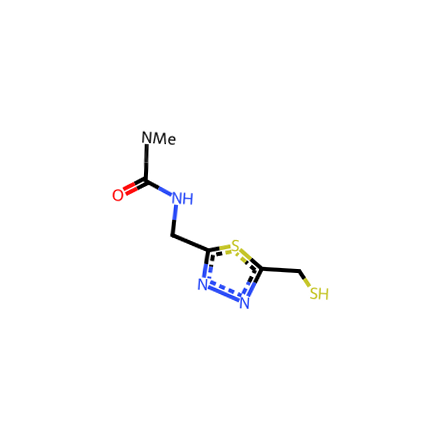 CNC(=O)NCc1nnc(CS)s1